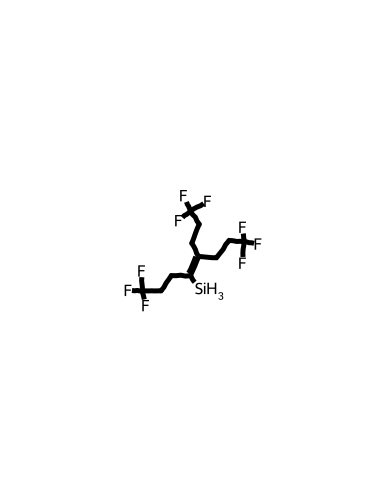 FC(F)(F)CCC([SiH3])=C(CCC(F)(F)F)CCC(F)(F)F